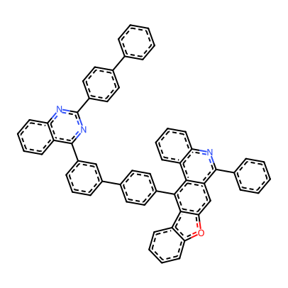 c1ccc(-c2ccc(-c3nc(-c4cccc(-c5ccc(-c6c7c(cc8c(-c9ccccc9)nc9ccccc9c68)oc6ccccc67)cc5)c4)c4ccccc4n3)cc2)cc1